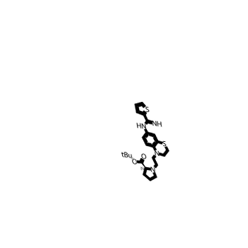 CC(C)(C)OC(=O)[C@@H]1CCCN1CCN1CCSc2cc(NC(=N)c3cccs3)ccc21